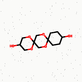 OC1CCC2(CC1)OCC1(CO2)OCC(O)CO1